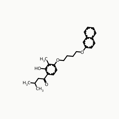 Cc1c(OCCCCOc2ccc3ccccc3c2)ccc(C(=O)CC(C)C)c1O